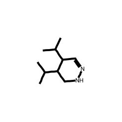 CC(C)C1C=NNCC1C(C)C